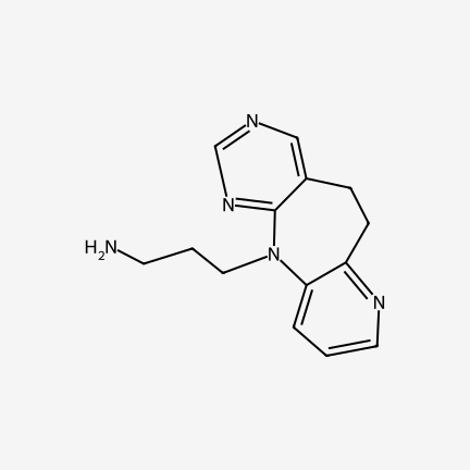 NCCCN1c2cccnc2CCc2cncnc21